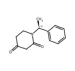 C[C@@H](c1ccccc1)N1CCC(=O)CC1=O